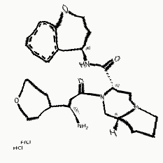 Cl.Cl.N[C@H](C(=O)N1C[C@H]2CCCN2C[C@H]1C(=O)N[C@@H]1CCOc2ccccc21)C1CCOCC1